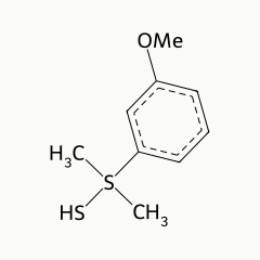 COc1cccc(S(C)(C)S)c1